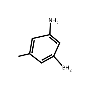 Bc1cc(C)cc(N)c1